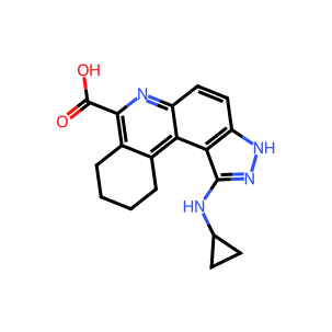 O=C(O)c1nc2ccc3[nH]nc(NC4CC4)c3c2c2c1CCCC2